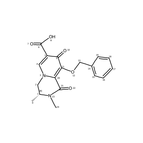 C[C@@H]1Cn2cc(C(=O)O)c(=O)c(OCc3ccccc3)c2C(=O)N1C